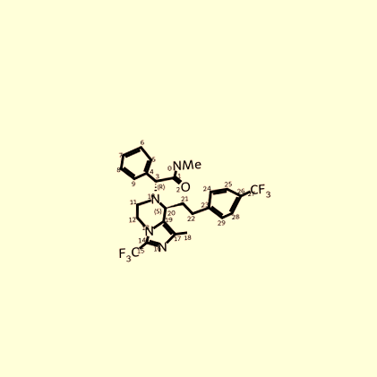 CNC(=O)[C@@H](c1ccccc1)N1CCn2c(C(F)(F)F)nc(C)c2[C@@H]1CCc1ccc(C(F)(F)F)cc1